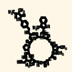 CCC(C)C1NC(=O)CNC(=O)CNC(=O)C([C@@H](C)C(O)CO)NC(=O)C2CCCN2C(=O)C(CC(=O)NCc2ccc(NC(=O)C(C)NC)cc2)NC(=O)[C@H](C[S+]([O-])c2[nH]c3ccccc3c2C)NC(=O)CNC1=O